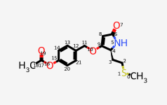 CSCC[C@@H]1NC(=O)C=C1OCc1ccc(OC(C)=O)cc1